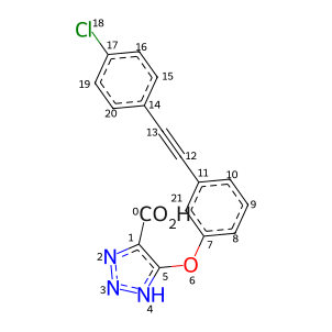 O=C(O)c1nn[nH]c1Oc1cccc(C#Cc2ccc(Cl)cc2)c1